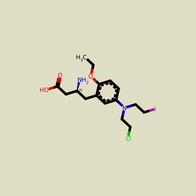 CCOc1ccc(N(CCCl)CCI)cc1C[C@H](N)CC(=O)O